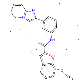 COc1cccc2cc(C(=O)Nc3cccc(-c4cn5c(n4)C=CCC5)c3)oc12